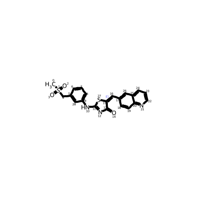 CS(=O)(=O)Cc1cccc(NC2=NC(=O)/C(=C\c3ccc4ncccc4c3)S2)c1